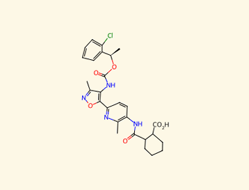 Cc1nc(-c2onc(C)c2NC(=O)O[C@H](C)c2ccccc2Cl)ccc1NC(=O)C1CCCCC1C(=O)O